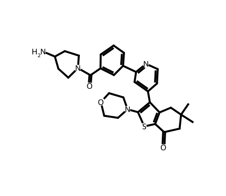 CC1(C)CC(=O)c2sc(N3CCOCC3)c(-c3ccnc(-c4cccc(C(=O)N5CCC(N)CC5)c4)c3)c2C1